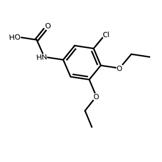 CCOc1cc(NC(=O)O)cc(Cl)c1OCC